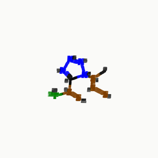 CS(=S=S)n1nnnc1S([18F])=S